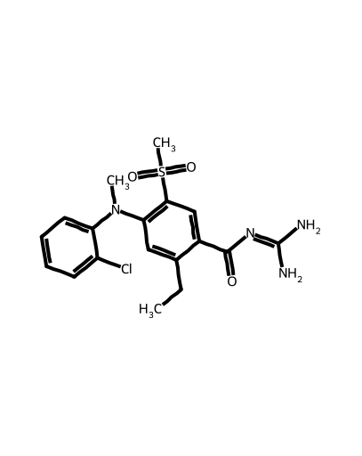 CCc1cc(N(C)c2ccccc2Cl)c(S(C)(=O)=O)cc1C(=O)N=C(N)N